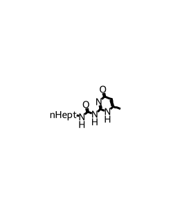 CCCCCCCNC(=O)Nc1nc(=O)cc(C)[nH]1